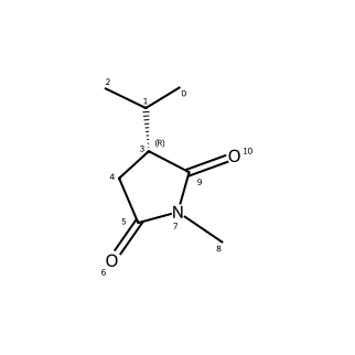 CC(C)[C@H]1CC(=O)N(C)C1=O